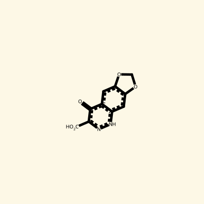 O=C(O)c1n[nH]c2cc3c(cc2c1=O)OCO3